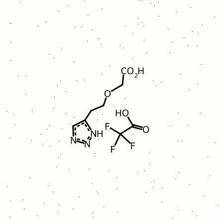 O=C(O)C(F)(F)F.O=C(O)COCCc1cnn[nH]1